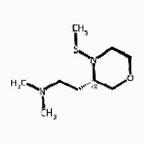 CSN1CCOC[C@@H]1CCN(C)C